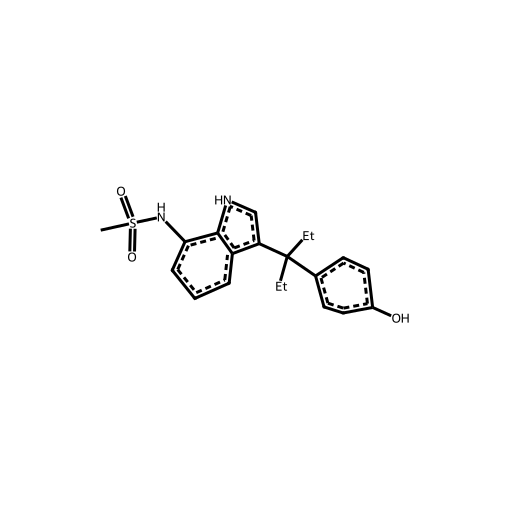 CCC(CC)(c1ccc(O)cc1)c1c[nH]c2c(NS(C)(=O)=O)cccc12